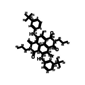 C=c1c2c(Nc3cccc(C(C)(C)C)c3)c(C)c3c4c(c(Br)c(Nc5cccc(C(C)(C)C)c5)c(c(=O)n1CCC)c42)C(=O)N(CCC)C3=O